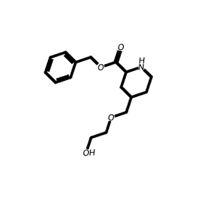 O=C(OCc1ccccc1)C1CC(COCCO)CCN1